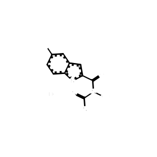 CN(C(=N)N)C(=O)c1cc2cc(F)ccc2[nH]1.Cl